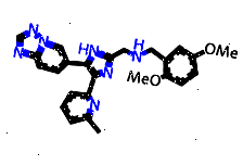 COc1ccc(OC)c(CNCc2nc(-c3cccc(C)n3)c(-c3ccc4ncnn4c3)[nH]2)c1